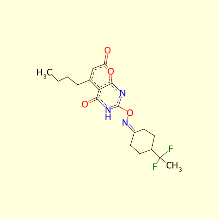 CCCCc1cc(=O)oc2nc(ON=C3CCC(C(C)(F)F)CC3)[nH]c(=O)c12